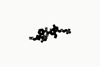 C=Cc1cc(C(=O)Nc2cccc(C3(c4nncn4C)CC(CC#N)C3)c2)nc2c(C)cn(COCC[Si](C)(C)C)c12